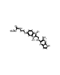 CCn1c(CNc2nc3cc[nH]c3nc2N)[n+](CC)c2ccc(OCCNC(=O)OC(C)(C)C)cc21